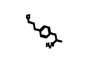 CC(N)Cc1ccc(CCCCl)cc1